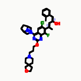 C/C(=C\C(O)=C/c1ccccc1C)c1c(Cl)cc2c(N3CC4CCC(C3)N4)nc(OCCCN3CCC4(CCOC4)CC3)nc2c1F